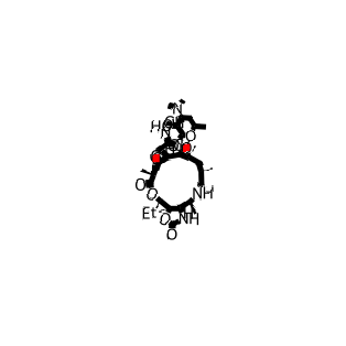 CC[C@@H]1OC(=O)[C@]2(C)CC/C(=N/O)CO[C@@](C)(C[C@H](C)CN[C@@H](C)[C@H]3NC(=O)O[C@@]13C)[C@@H](OC1OC(C)CC(N(C)C)C1O)[C@@H](C)C2=O